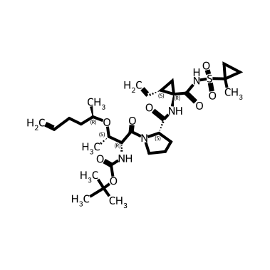 C=CCC[C@@H](C)O[C@@H](C)[C@@H](NC(=O)OC(C)(C)C)C(=O)N1CCC[C@H]1C(=O)N[C@]1(C(=O)NS(=O)(=O)C2(C)CC2)C[C@H]1C=C